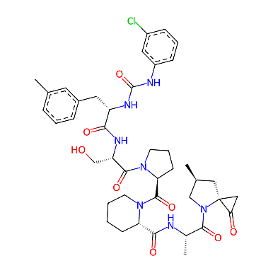 Cc1cccc(C[C@H](NC(=O)Nc2cccc(Cl)c2)C(=O)N[C@@H](CO)C(=O)N2CCC[C@H]2C(=O)N2CCCC[C@H]2C(=O)N[C@@H](C)C(=O)N2C[C@@H](C)C[C@@]23CC3=O)c1